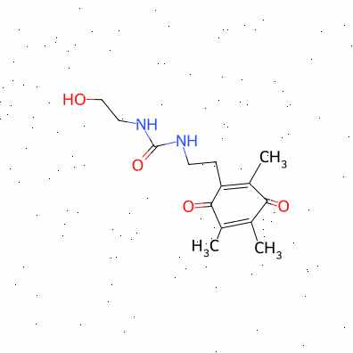 CC1=C(C)C(=O)C(CCNC(=O)NCCO)=C(C)C1=O